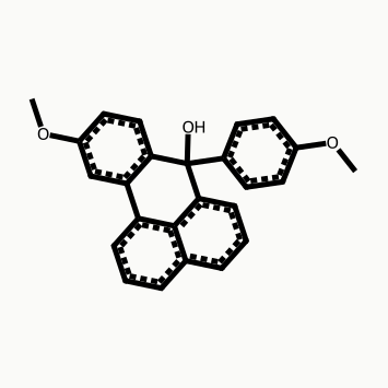 COc1ccc(C2(O)c3ccc(OC)cc3-c3cccc4cccc2c34)cc1